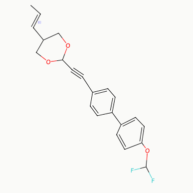 C/C=C/C1COC(C#Cc2ccc(-c3ccc(OC(F)F)cc3)cc2)OC1